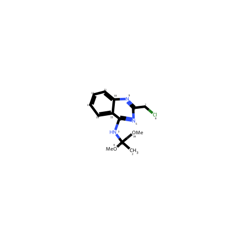 COC(C)(Nc1nc(CCl)nc2ccccc12)OC